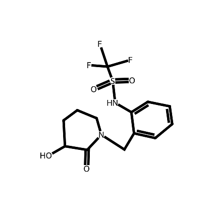 O=C1C(O)CCCN1Cc1ccccc1NS(=O)(=O)C(F)(F)F